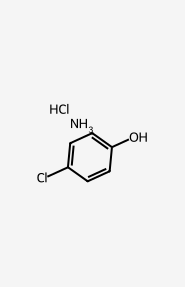 Cl.N.Oc1ccc(Cl)cc1